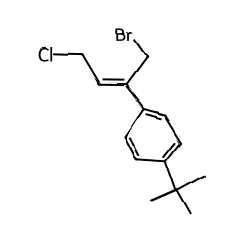 CC(C)(C)c1ccc(/C(=C/CCl)CBr)cc1